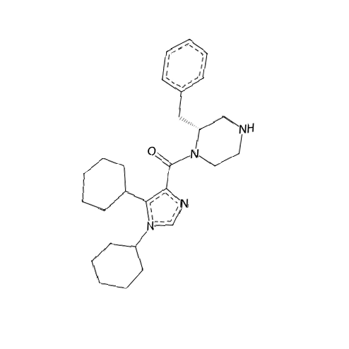 O=C(c1ncn(C2CCCCC2)c1C1CCCCC1)N1CCNC[C@H]1Cc1ccccc1